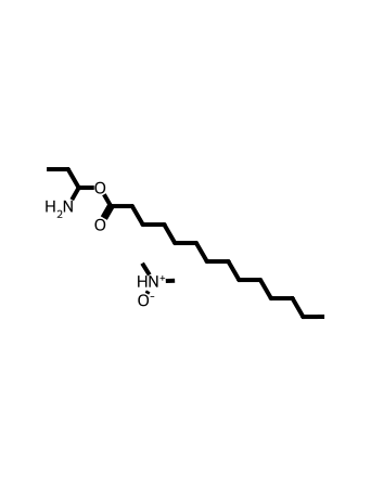 CCCCCCCCCCCCCC(=O)OC(N)CC.C[NH+](C)[O-]